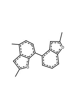 Cc1cc2c(-c3ccc(C)c4cc(C)oc34)cccc2o1